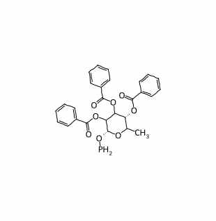 CC1O[C@H](OP)C(OC(=O)c2ccccc2)C(OC(=O)c2ccccc2)[C@@H]1OC(=O)c1ccccc1